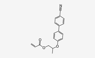 C=CC(=O)OCC(C)Oc1ccc(-c2ccc(C#N)cc2)cc1